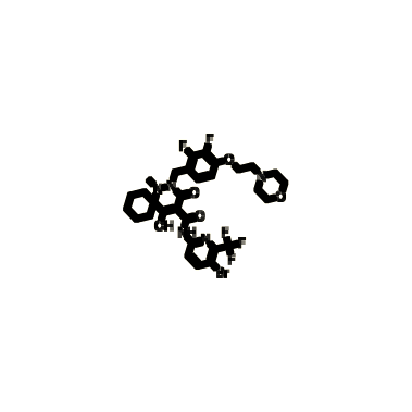 CN1N(Cc2ccc(OCCN3CCOCC3)c(F)c2F)C(=O)C(C(=O)Nc2ccc(Br)c(C(F)(F)F)n2)=C(O)C12CCCCC2